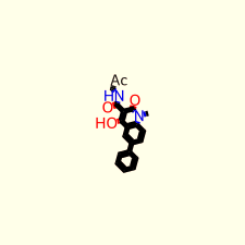 CC(=O)CNC(=O)c1c(O)c2cc(-c3ccccc3)ccc2n(C)c1=O